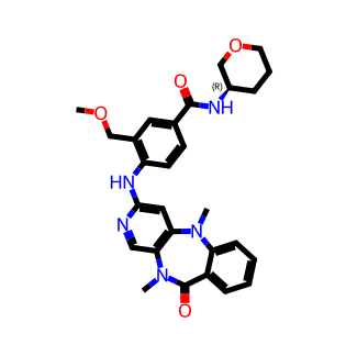 COCc1cc(C(=O)N[C@@H]2CCCOC2)ccc1Nc1cc2c(cn1)N(C)C(=O)c1ccccc1N2C